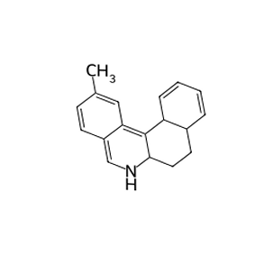 Cc1ccc2c(c1)=C1C(CCC3C=CC=CC13)NC=2